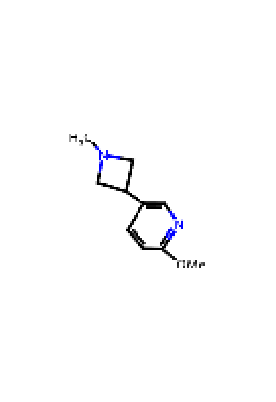 COc1ccc(C2CN(C)C2)cn1